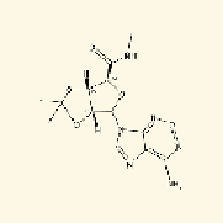 CNC(=O)[C@H]1OC(n2cnc3c(N)ncnc32)[C@@H]2OC(C)(C)O[C@H]12